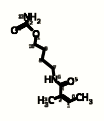 CC=C(C)C(=O)NCCCCOC(N)=O